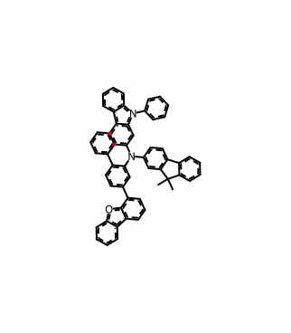 CC1(C)c2ccccc2-c2ccc(N(c3ccc4c5ccccc5n(-c5ccccc5)c4c3)c3cc(-c4cccc5c4oc4ccccc45)ccc3-c3ccccc3)cc21